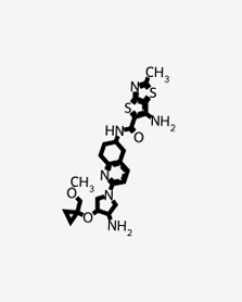 COCC1(OC2CN(c3ccc4c(n3)CCC(NC(=O)c3sc5nc(C)sc5c3N)C4)CC2N)CC1